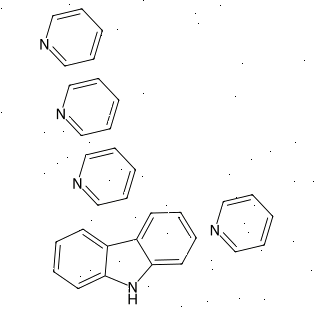 c1ccc2c(c1)[nH]c1ccccc12.c1ccncc1.c1ccncc1.c1ccncc1.c1ccncc1